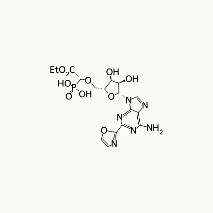 CCOC(=O)[C@H](OC[C@H]1O[C@@H](n2cnc3c(N)nc(-c4ncco4)nc32)[C@H](O)[C@@H]1O)P(=O)(O)O